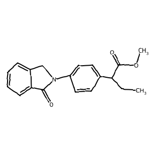 CCC(C(=O)OC)c1ccc(N2Cc3ccccc3C2=O)cc1